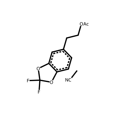 CC#N.CC(=O)OCCc1ccc2c(c1)OC(F)(F)O2